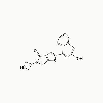 O=C1c2cc(-c3cc(O)cc4ccccc34)sc2CN1C1CNC1